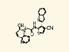 C=C1C=Cc2ncccc2N1CC(=O)Nc1scc(C#N)c1C1=Nc2ccccc2C1